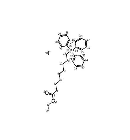 CCOC(=O)CCCCCCCC[P+](c1ccccc1)(c1ccccc1)c1ccccc1.[I-]